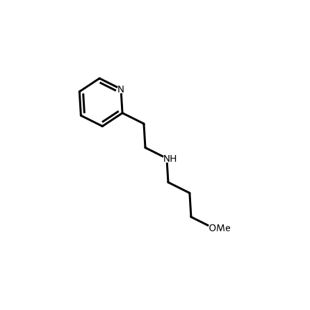 COCCCNCCc1ccccn1